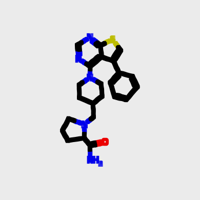 NC(=O)C1CCCN1CC1CCN(c2ncnc3scc(-c4ccccc4)c23)CC1